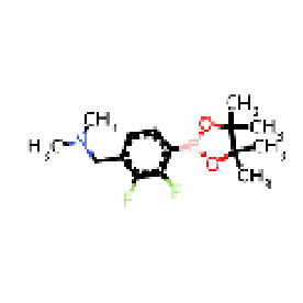 CN(C)Cc1ccc(B2OC(C)(C)C(C)(C)O2)c(F)c1F